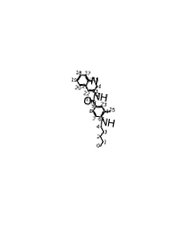 CCCCCNc1ccc(C(=O)Nc2cnc3ccccc3c2)cc1C